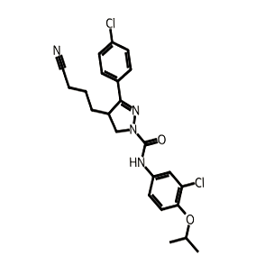 CC(C)Oc1ccc(NC(=O)N2CC(CCCC#N)C(c3ccc(Cl)cc3)=N2)cc1Cl